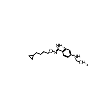 CCNc1ccc(C(N)=NOCCCCC2CC2)cc1